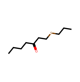 CCCCC(=O)CCSCCC